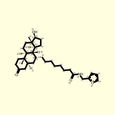 C[C@]12CCC(=O)C[C@@H]1C[C@@H](CCCCCCCC(=O)NCc1ccco1)[C@@H]1[C@@H]2CC[C@]2(C)[C@@H](O)CC[C@@H]12